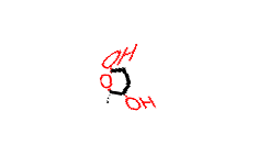 C[C@@H]1O[C@H](O)CC[C@@H]1O